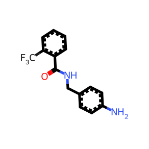 Nc1ccc(CNC(=O)c2ccccc2C(F)(F)F)cc1